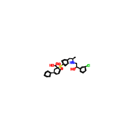 C[C@H](Cc1ccc(S(=O)(=O)C2(C(=O)O)C=CC=C(c3ccccc3)C2)cc1)NC[C@H](O)c1cccc(Cl)c1